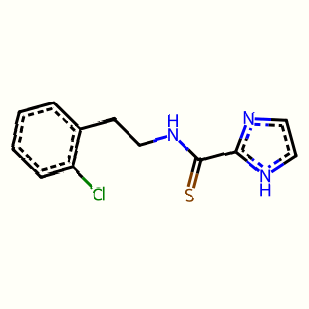 S=C(NCCc1ccccc1Cl)c1ncc[nH]1